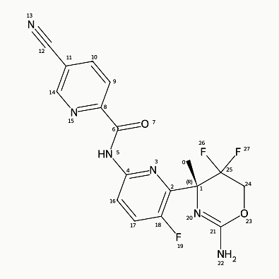 C[C@]1(c2nc(NC(=O)c3ccc(C#N)cn3)ccc2F)N=C(N)OCC1(F)F